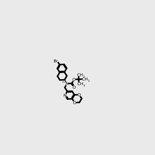 CC(C)(C)OC(=O)N(Cc1cc2c(cn1)OCCO2)[C@H]1CCc2cc(Br)ccc2C1